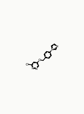 Clc1cc(OCc2ccc(-n3ccnc3)cc2)cnn1